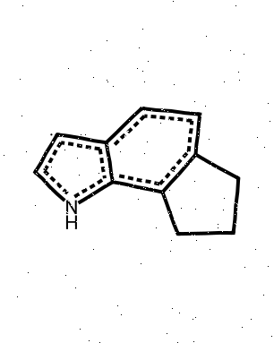 [c]1c[nH]c2c3c(ccc12)CCC3